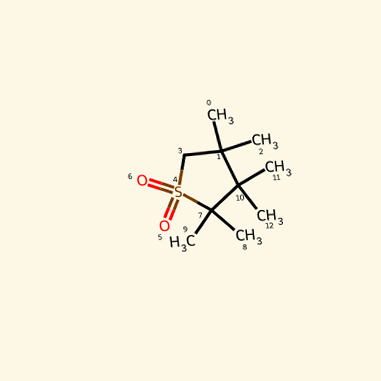 CC1(C)CS(=O)(=O)C(C)(C)C1(C)C